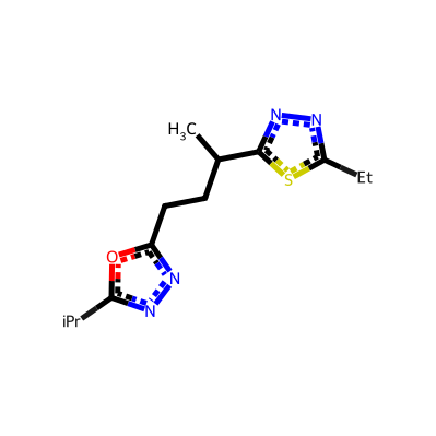 CCc1nnc(C(C)CCc2nnc(C(C)C)o2)s1